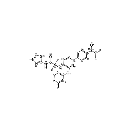 Cc1ccc2c(n1)Oc1nc(-c3ccc([S+]([O-])C(C)C)cc3)ccc1[C@@H]2C(C)(C)C(=O)Nc1nncs1